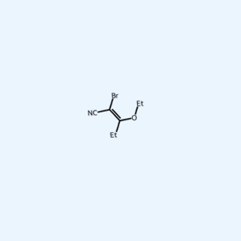 CCOC(CC)=C(Br)C#N